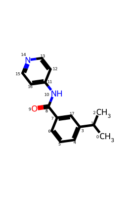 CC(C)c1cccc(C(=O)Nc2ccncc2)c1